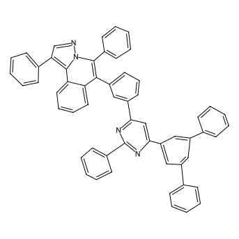 c1ccc(-c2cc(-c3ccccc3)cc(-c3cc(-c4cccc(-c5c(-c6ccccc6)n6ncc(-c7ccccc7)c6c6ccccc56)c4)nc(-c4ccccc4)n3)c2)cc1